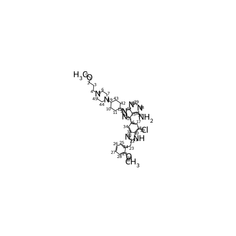 COCCCN1CCN(C2CCC(n3nc(-c4cc(Cl)c5[nH]c(Cc6ccccc6OC)nc5c4)c4c(N)ncnc43)CC2)CC1